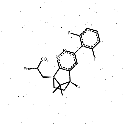 CC[C@H](C[C@@]12CC[C@@H](c3cc(-c4c(F)cccc4F)nnc31)C2(C)C)C(=O)O